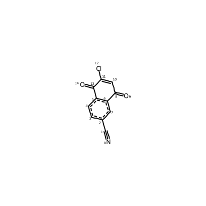 N#Cc1ccc2c(c1)C(=O)C=C(Cl)C2=O